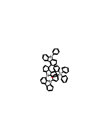 c1ccc(-n2c3ccccc3c3c(-c4cccc5c4c4ccccc4n5-c4cccc5c6ccccc6n(-c6ccc([Si](c7ccccc7)(c7ccccc7)c7ccccc7)cc6)c45)cccc32)cc1